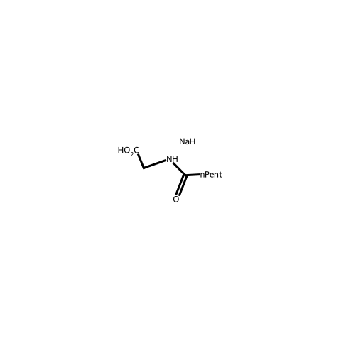 CCCCCC(=O)NCC(=O)O.[NaH]